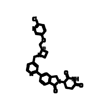 O=C1CCC(N2Cc3cc(-c4cc(CN5CC[C@@H]5COc5ccc(Cl)nc5)ccn4)ccc3C2=O)C(=O)N1